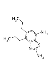 CCCc1cc(N)c2sc(N)nc2c1CCC